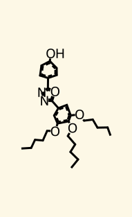 CCCCCOc1cc(-c2nnc(-c3ccc(O)cc3)o2)cc(OCCCCC)c1OCCCCC